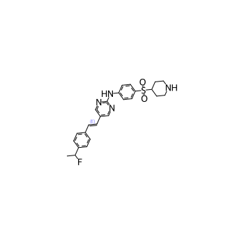 CC(F)c1ccc(/C=C/c2cnc(Nc3ccc(S(=O)(=O)C4CCNCC4)cc3)nc2)cc1